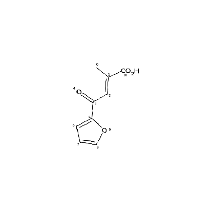 CC(=CC(=O)c1ccco1)C(=O)O